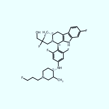 CC1CN(CCCF)CC[C@@H]1Nc1cc(F)c([C@@H]2c3[nH]c4cc(F)ccc4c3C[C@@H](C)N2CC(F)(F)CO)c(F)c1